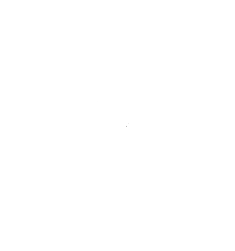 CC1(C)c2ccc(P(c3ccccc3)c3ccccc3)cc2Oc2c(P(c3ccccc3)c3ccccc3)cccc21